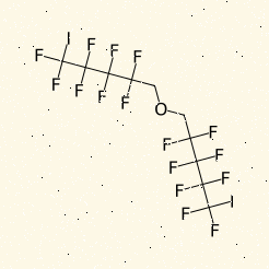 FC(F)(I)C(F)(F)C(F)(F)C(F)(F)COCC(F)(F)C(F)(F)C(F)(F)C(F)(F)I